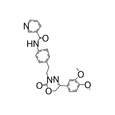 COc1ccc(C2=NN(CCc3ccc(NC(=O)c4cccnc4)cc3)C(=O)OC2)cc1OC